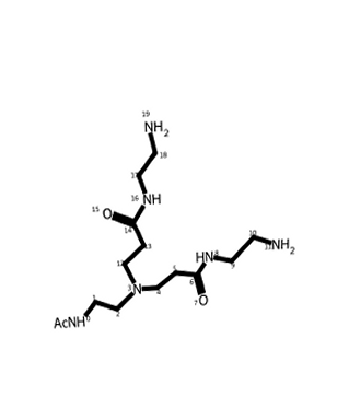 CC(=O)NCCN(CCC(=O)NCCN)CCC(=O)NCCN